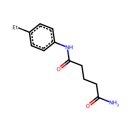 CCc1ccc(NC(=O)CCCC(N)=O)cc1